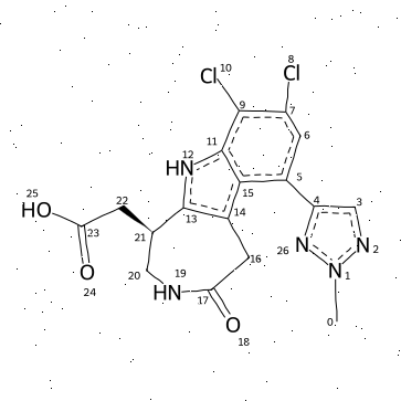 Cn1ncc(-c2cc(Cl)c(Cl)c3[nH]c4c(c23)CC(=O)NC[C@H]4CC(=O)O)n1